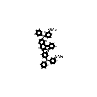 COc1cccc(N(c2ccccc2)c2ccc3cc4c5ccc(N(c6ccccc6)c6cccc(OC)c6)cc5n5c6ccccc6c(c3c2)c45)c1